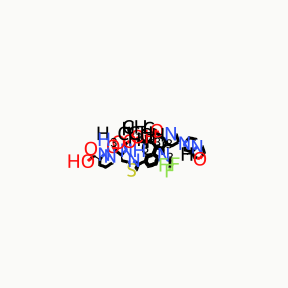 CO[C@@H](C)C1=C(c2c(CC(C)(C)CO)c3cc(-c4csc(C[C@H](NC(=O)OC(C)(C)C)C(=O)N5CCC[C@@H](C(=O)O)N5)n4)ccc3n2CC(F)(F)F)CC(N2CCN3CCOC[C@@H]3C2)C=N1